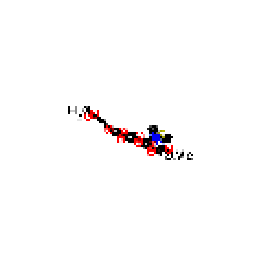 C=CC(=O)OCCCCCCOc1ccc(OC(=O)[C@H]2CC[C@H](C(=O)Oc3ccc(OC(=O)[C@H]4CC[C@H](C(=O)OC)CC4)c(/C=N/N(c4ccccc4)c4nc5ccccc5s4)c3)CC2)cc1